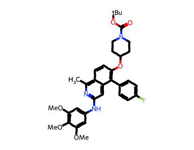 COc1cc(Nc2cc3c(-c4ccc(F)cc4)c(OC4CCN(C(=O)OC(C)(C)C)CC4)ccc3c(C)n2)cc(OC)c1OC